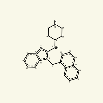 c1ccc2c(Cn3c(NC4CCNCC4)nc4ccccc43)nccc2c1